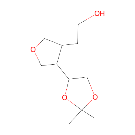 CC1(C)OCC(C2COCC2CCO)O1